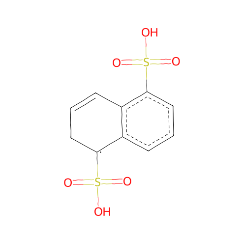 O=S(=O)(O)[C]1CC=Cc2c1cccc2S(=O)(=O)O